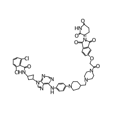 O=C1CC[C@H](N2C(=O)c3ccc(OCC(=O)N4CCN(CC5CCN(c6ccc(Nc7ncnc8c7ncn8C7CC(NC(=O)c8c(Cl)cccc8Cl)C7)cc6)CC5)CC4)cc3C2=O)C(=O)N1